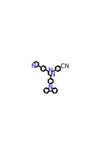 N#Cc1ccc(-c2nc(-c3ccc(-c4cccnc4)cc3)cc(-c3ccc(-n4c5ccccc5c5ccccc54)cc3)n2)cc1